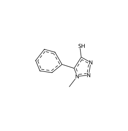 Cn1nnc(S)c1-c1ccccc1